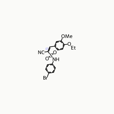 CCOc1ccc(/C=C(/C#N)S(=O)(=O)Nc2ccc(Br)cc2)cc1OC